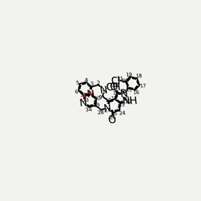 CN(Cc1ccccn1)Cc1c2c(=O)n(-c3ccccc3Cl)[nH]c2cc(=O)n1Cc1cccnc1